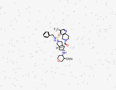 COC1COCCC1N[C@@H]1C[C@H]2CN([S+]([O-])NCc3ccccc3)C[C@@]2(C(=O)N2CCc3ncc(C(F)(F)F)cc3C2)C1